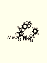 COC(=O)c1c(CCNC(=O)OCc2ccccc2)sc(N(C)C2CCC3(CC2)OCCO3)c1C